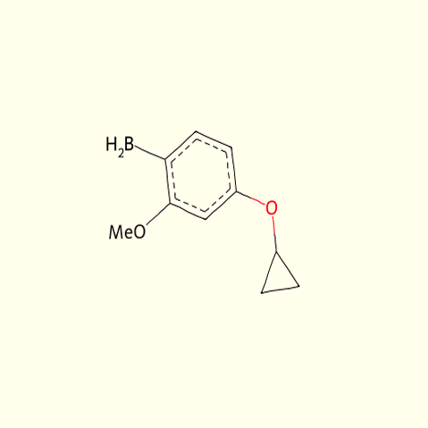 Bc1ccc(OC2CC2)cc1OC